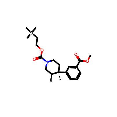 COC(=O)c1cccc([C@]2(C)CCN(C(=O)OCC[Si](C)(C)C)C[C@@H]2C)c1